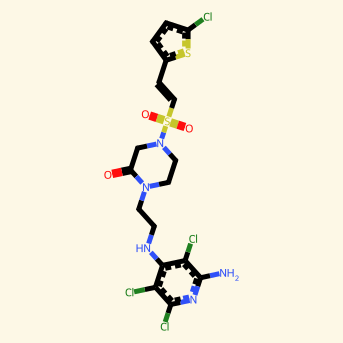 Nc1nc(Cl)c(Cl)c(NCCN2CCN(S(=O)(=O)C=Cc3ccc(Cl)s3)CC2=O)c1Cl